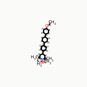 CCOC1CCC(C2CCC(c3ccc(C4CC(C)(C)N(O)C(C)(C)C4)cc3)CC2)CC1